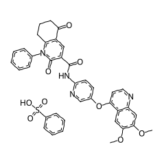 COc1cc2nccc(Oc3ccc(NC(=O)c4cc5c(n(-c6ccccc6)c4=O)CCCC5=O)nc3)c2cc1OC.O=S(=O)(O)c1ccccc1